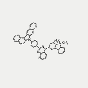 CC1(C)c2ccccc2-c2cc(-c3nc(-c4ccc(-n5c6cc7ccccc7cc6c6c7ccccc7ccc65)cc4)nc4ncccc34)ccc21